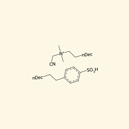 CCCCCCCCCCCC[N+](C)(C)CC#N.CCCCCCCCCCCCc1ccc(S(=O)(=O)O)cc1